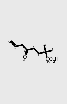 C=CCC(=O)CCC(C)(C)C(=O)O